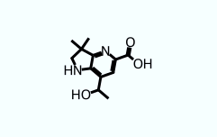 CC(O)c1cc(C(=O)O)nc2c1NCC2(C)C